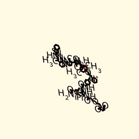 Cc1c(Nc2nc3ccccc3s2)nnc2c1CCCN2c1ccc(-c2cnn(CC34CC5(OCC[N+]6(Cc7ccc(NC(=O)[C@H](CCCNC(N)=O)NC(=O)[C@@H](NC(=O)CCOCCN8C(=O)C=CC8=O)C(C)C)cc7)CCCCC6)C[C@](C)(C3)C[C@](C)(C4)C5)c2C)c(C(=O)O)n1